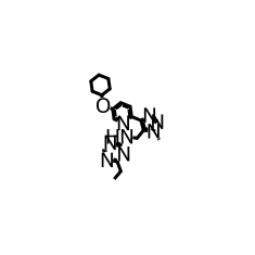 CCc1ncnc(NCc2c(-c3ccc(OC4CCCCC4)cn3)nnn2C)n1